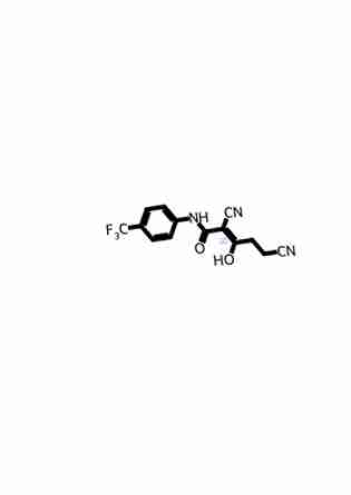 N#CCC/C(O)=C(\C#N)C(=O)Nc1ccc(C(F)(F)F)cc1